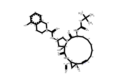 CC(C)(C)OC(=O)N[C@H]1CCCCC/C=C\[C@@H]2C[C@@]2(C=O)NC(=O)[C@@H]2C[C@@H](OC(=O)N3CCc4c(F)cccc4C3)CN2C1=O